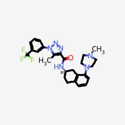 Cc1c(C(=O)N[C@@H]2CCc3cccc(N4CCN(C)CC4)c3C2)nnn1-c1cccc(C(F)(F)F)c1